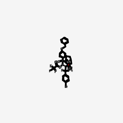 NC1CC2CCC(C1)N2C(=O)[C@@H](N(OC(=O)C(F)(F)F)S(=O)(=O)c1ccc(OCc2ccccc2)cc1)C(F)(F)c1ccc(Br)cc1